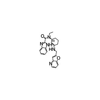 CCN(C(=O)c1nc2ccccc2[nH]1)[C@@H]1C=C(NCc2cc3ncccc3o2)CCC1